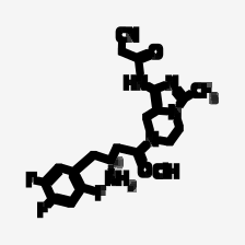 Cl.N#CCC(=O)Nc1nc(C(F)(F)F)n2c1CN(C(=O)C[C@H](N)Cc1cc(F)c(F)cc1F)CC2